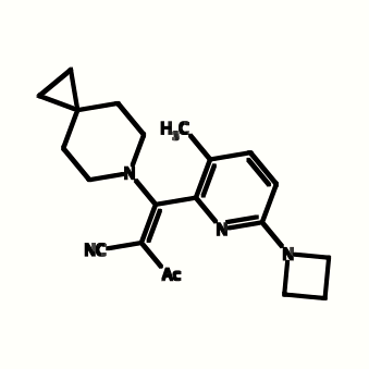 CC(=O)/C(C#N)=C(\c1nc(N2CCC2)ccc1C)N1CCC2(CC1)CC2